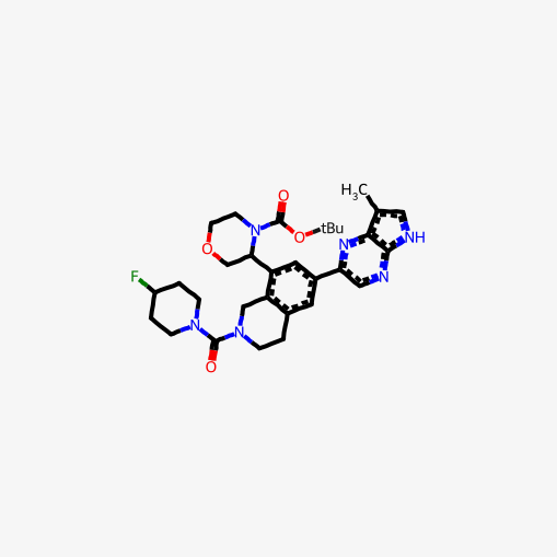 Cc1c[nH]c2ncc(-c3cc4c(c(C5COCCN5C(=O)OC(C)(C)C)c3)CN(C(=O)N3CCC(F)CC3)CC4)nc12